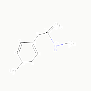 C=C(CC1=CCC(CCC)C=C1)NCCCC